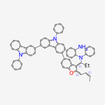 C\C=C/C=c1/oc2ccc(-c3ccc4c(c3)c3cc(-c5ccc6c(c5)c5ccccc5n6-c5ccccc5)ccc3n4-c3ccccc3)cc2/c1=C(/CC)N(c1ccccc1)c1ccccc1N